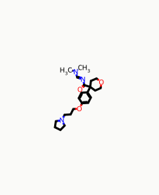 CN(C)C=NC(=O)C1(c2ccc(OCCCN3CCCC3)cc2)CCOCC1